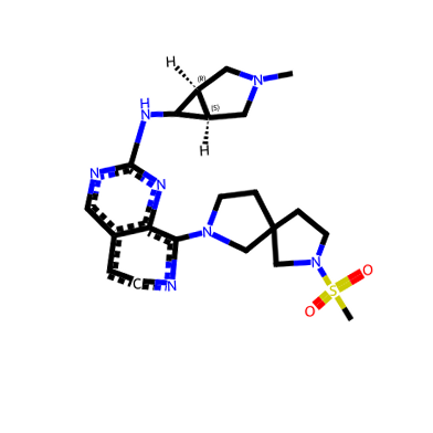 CN1C[C@@H]2C(Nc3ncc4ccnc(N5CCC6(CCN(S(C)(=O)=O)C6)C5)c4n3)[C@@H]2C1